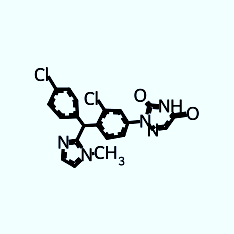 Cn1ccnc1C(c1ccc(Cl)cc1)c1ccc(-n2ncc(=O)[nH]c2=O)cc1Cl